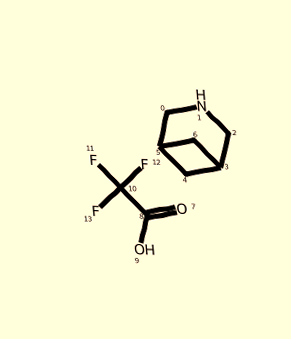 C1NCC2CC1C2.O=C(O)C(F)(F)F